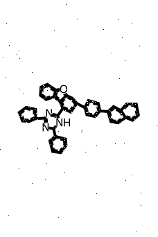 c1ccc(C2=NC(c3ccccc3)NC(c3cc(-c4ccc(-c5ccc6ccccc6c5)cc4)cc4oc5ccccc5c34)=N2)cc1